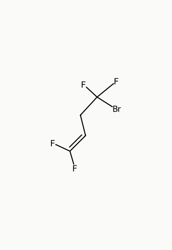 FC(F)=CCC(F)(F)Br